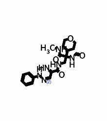 CNC(=O)C(CNC(=O)C(=N)/C=N\Nc1ccccc1)(NC=O)C1CCOCC1